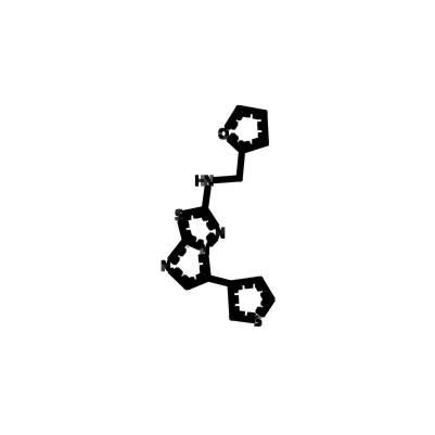 c1coc(CNc2nn3c(-c4ccsc4)cnc3s2)c1